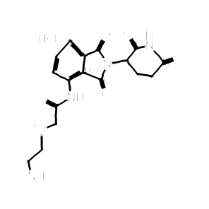 Cl.NCCOCC(=O)Nc1cccc2c1C(=O)N(C1CCC(=O)NC1=O)C2=O